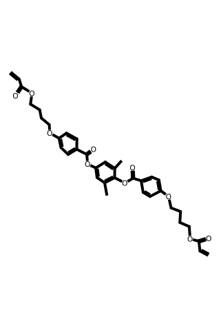 C=CC(=O)OCCCCOc1ccc(C(=O)Oc2cc(C)c(OC(=O)c3ccc(OCCCCOC(=O)C=C)cc3)c(C)c2)cc1